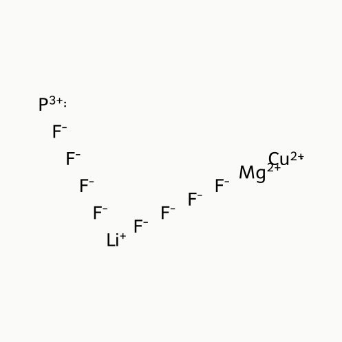 [Cu+2].[F-].[F-].[F-].[F-].[F-].[F-].[F-].[F-].[Li+].[Mg+2].[P+3]